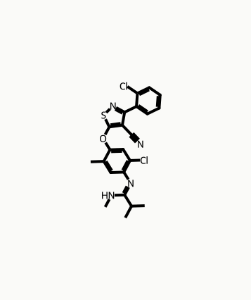 CNC(=Nc1cc(C)c(Oc2snc(-c3ccccc3Cl)c2C#N)cc1Cl)C(C)C